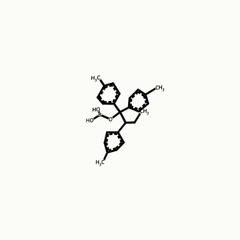 CCC(c1ccc(C)cc1)C(OB(O)O)(c1ccc(C)cc1)c1ccc(C)cc1